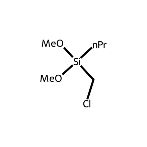 CCC[Si](CCl)(OC)OC